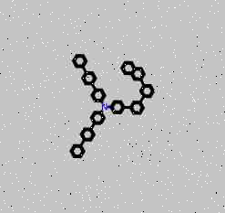 c1ccc(-c2ccc(-c3ccc(N(c4ccc(-c5ccc(-c6ccccc6)cc5)cc4)c4ccc(-c5cccc(-c6cccc(-c7ccc8ccccc8c7)c6)c5)cc4)cc3)cc2)cc1